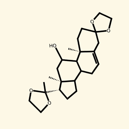 CC1([C@H]2CCC3C4CC=C5CC6(CC[C@]5(C)C4C(O)C[C@@]32C)OCCO6)OCCO1